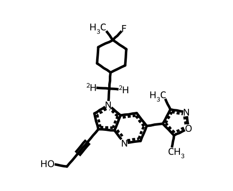 [2H]C([2H])(C1CCC(C)(F)CC1)n1cc(C#CCO)c2ncc(-c3c(C)noc3C)cc21